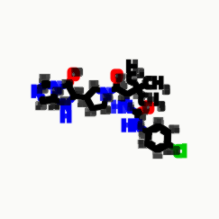 CC(C)(C)[C@@H](NC(=O)Nc1ccc(Cl)cc1)C(=O)N1CCC(C2Nc3cncn3C2=O)C1